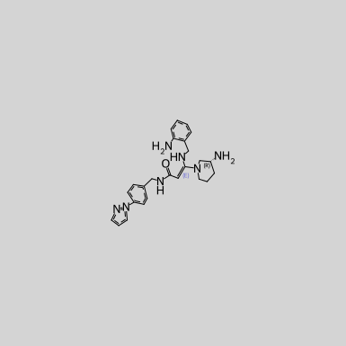 Nc1ccccc1CN/C(=C\C(=O)NCc1ccc(-n2cccn2)cc1)N1CCC[C@@H](N)C1